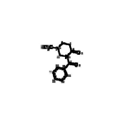 O=C(O)N1CCC(=O)N(C(=O)c2ccccc2)C1